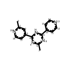 Cc1cc(-c2nc(C)nc(-c3ccncc3)n2)ccn1